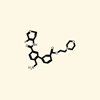 NCc1ccc(C(=O)Nc2ccncc2F)cc1-c1cccc(C(=O)OCCN2CCOCC2)c1